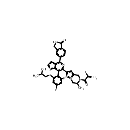 C=C(F)C(=O)N1Cc2cc(-c3nc(-c4ccc5c(c4)CNC5=O)c4ccsc4c3-c3c(F)cc(F)cc3OCC(C)O)nn2CC1C